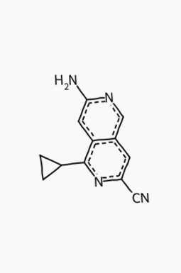 N#Cc1cc2cnc(N)cc2c(C2CC2)n1